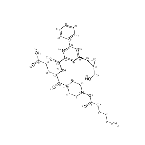 CCCCOC(=O)ON1CCN(C(=O)[C@H](CCC(=O)O)NC(=O)c2cc([C@H]3C[C@@H]3CO)nc(-c3ccccc3)n2)CC1